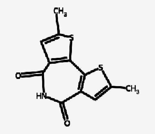 Cc1cc2c(=O)[nH]c(=O)c3cc(C)sc3c2s1